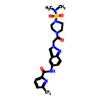 CN(C)S(=O)(=O)N1CCN(C(=O)Cn2cc3cc(NC(=O)c4cccc(C(F)(F)F)n4)ccc3n2)CC1